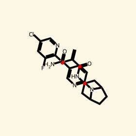 C=C(Oc1ncc(Cl)cc1F)C(=O)NC1CC2CCC(C1)N2c1ccc(C(N)=O)cn1